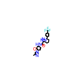 COc1cc(NC(=O)c2nnn3c2CCCC3c2ccc(C(F)(F)F)cc2)ccc1-n1cnc(C)c1